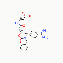 C[C@H](CC(=O)O)NC(=O)C[C@H]1C[C@@H](c2ccc(C(=N)N)cc2)N(Cc2ccccc2)C(=O)O1